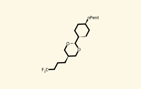 CCCCC[C@H]1CC[C@H]([C@H]2OC[C@H](CCCC(F)(F)F)CO2)CC1